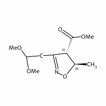 COC(=O)[C@H]1C(CC(OC)OC)=NO[C@@H]1C